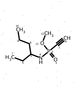 C#CP(=O)(NC(CC)CCC)OC